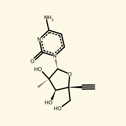 C#C[C@]1(CO)O[C@@H](n2ccc(N)nc2=O)[C@](C)(O)[C@@H]1O